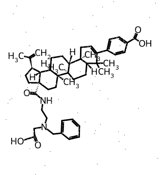 C=C(C)[C@@H]1CC[C@]2(C(=O)NCCN(CC(=O)O)Cc3ccccc3)CC[C@]3(C)[C@H](CC[C@@H]4[C@@]5(C)CC=C(c6ccc(C(=O)O)cc6)C(C)(C)[C@@H]5CC[C@]43C)[C@@H]12